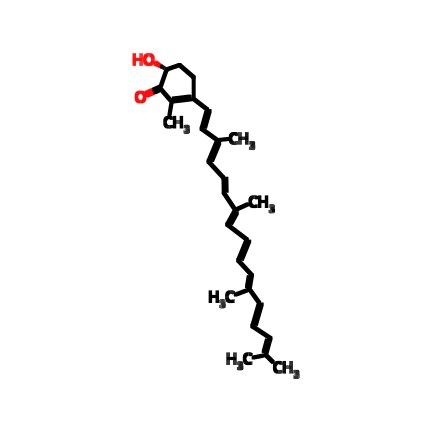 CC(C)=C/C=C/C(C)=C/C=C/C=C(C)/C=C/C=C(C)/C=C/C1=C(C)C(=O)[C@@H](O)CC1